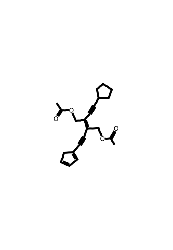 CC(=O)OC/C(C#CC1=CC=CC1)=C(\C#CC1CCCC1)COC(C)=O